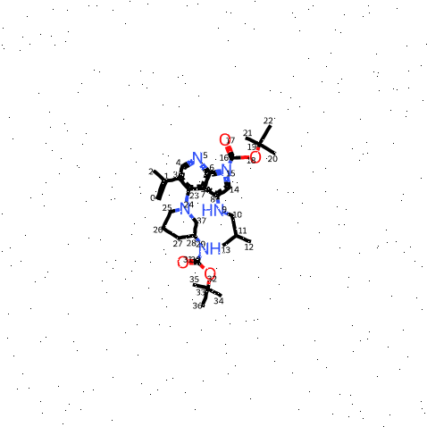 C=C(C)c1cnc2c(c(NCC(C)C)cn2C(=O)OC(C)(C)C)c1N1CCCC(NC(=O)OC(C)(C)C)C1